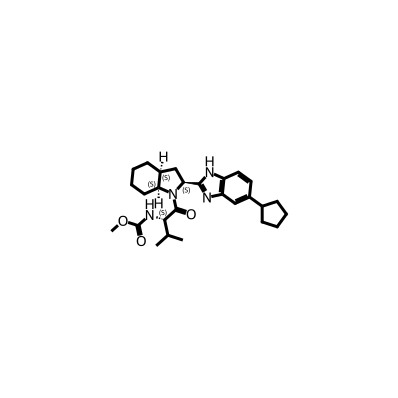 COC(=O)N[C@H](C(=O)N1[C@H](c2nc3cc(C4CCCC4)ccc3[nH]2)C[C@@H]2CCCC[C@@H]21)C(C)C